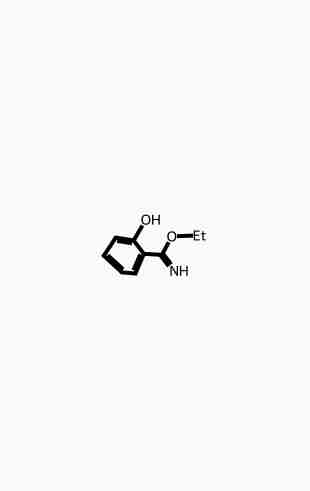 CCOC(=N)c1ccccc1O